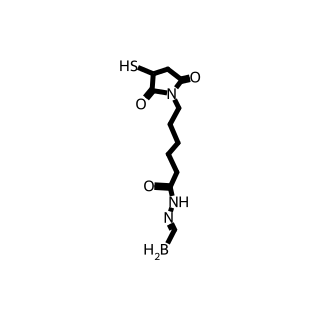 B/C=N/NC(=O)CCCCCN1C(=O)CC(S)C1=O